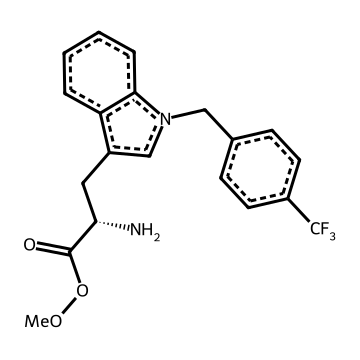 COOC(=O)[C@@H](N)Cc1cn(Cc2ccc(C(F)(F)F)cc2)c2ccccc12